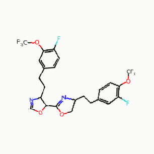 Fc1cc(CCC2COC(C3O[C]=NC3CCc3ccc(F)c(OC(F)(F)F)c3)=N2)ccc1OC(F)(F)F